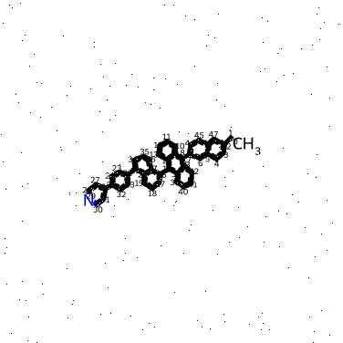 CCc1ccc2cc(-c3c4ccccc4c(-c4cccc5c(-c6ccc(-c7ccncc7)cc6)cccc45)c4ccccc34)ccc2c1